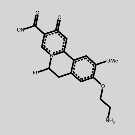 CCC1Cc2cc(OCCN)c(OC)cc2-c2cc(=O)c(C(=O)N=O)cn21